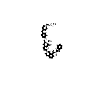 CCOC(=O)CN1CCC(Cc2ccc(OCCCc3ccc(N4CCc5cccc(C(=O)Nc6nc7ccccc7s6)c5C4)nc3C(=O)OC(C)(C)C)cc2)CC1